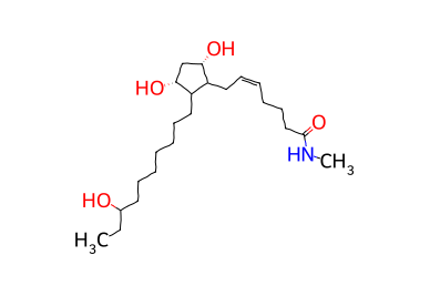 CCC(O)CCCCCCCC1C(C/C=C\CCCC(=O)NC)[C@@H](O)C[C@H]1O